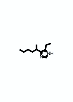 CCCCC(C)c1nc[nH]c1CC